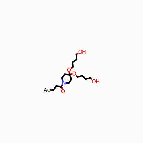 CC(=O)CCC(=O)N1CCC(OCCCCO)(OCCCCO)CC1